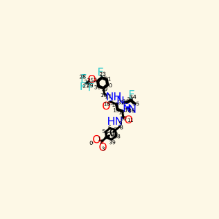 COC(=O)C12CCC(CNC(=O)c3cc(C(=O)NCc4ccc(F)c(OC(F)(F)F)c4)nc4c(F)cnn34)(CC1)CC2